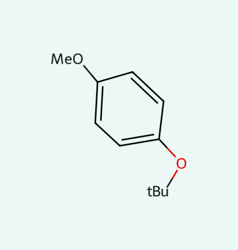 COc1ccc(OC(C)(C)C)cc1